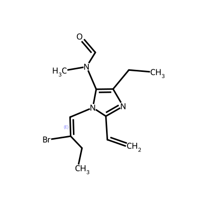 C=Cc1nc(CC)c(N(C)C=O)n1/C=C(/Br)CC